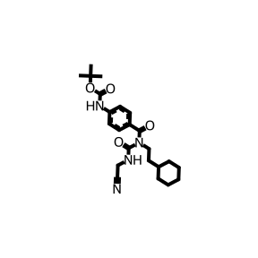 CC(C)(C)OC(=O)Nc1ccc(C(=O)N(CCC2CCCCC2)C(=O)NCC#N)cc1